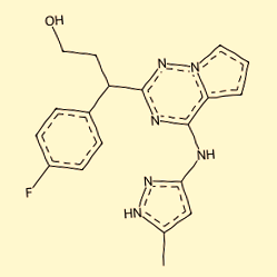 Cc1cc(Nc2nc(C(CCO)c3ccc(F)cc3)nn3cccc23)n[nH]1